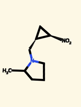 CC1CCCN1C[C@@H]1C[C@H]1[N+](=O)[O-]